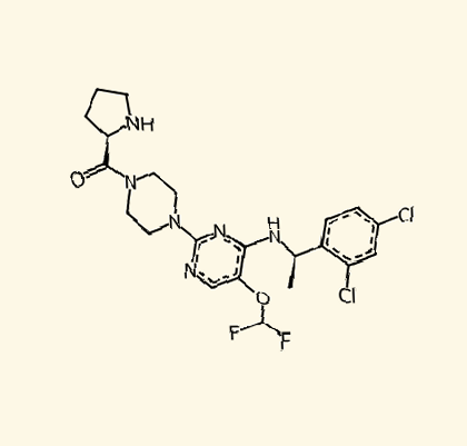 C[C@@H](Nc1nc(N2CCN(C(=O)[C@H]3CCCN3)CC2)ncc1OC(F)F)c1ccc(Cl)cc1Cl